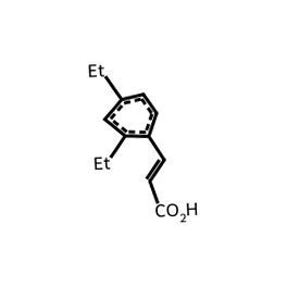 CCc1ccc(C=CC(=O)O)c(CC)c1